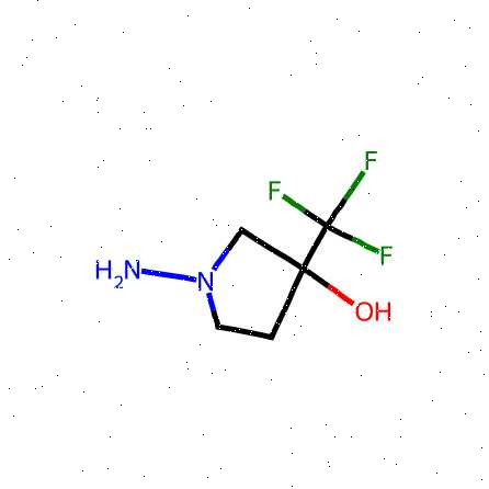 NN1CCC(O)(C(F)(F)F)C1